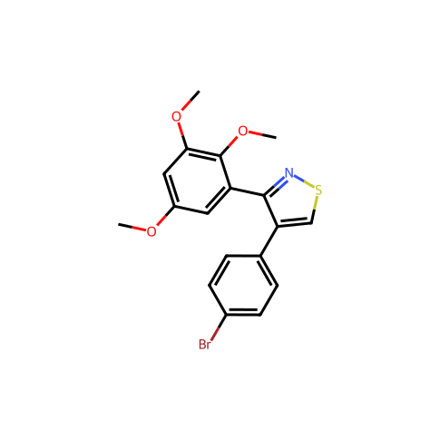 COc1cc(OC)c(OC)c(-c2nscc2-c2ccc(Br)cc2)c1